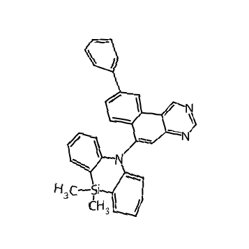 C[Si]1(C)c2ccccc2N(c2cc3ncncc3c3cc(-c4ccccc4)ccc23)c2ccccc21